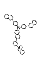 c1cc(-c2ccc3cc(N(c4ccc(-c5ccc6ccccc6c5)cc4)c4ccc(-c5ccc6ccccc6c5)cc4)ccc3c2)cc(-c2cc3ccccc3o2)c1